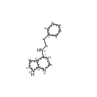 c1ccc(CCNc2ncnc3[nH]ccc23)cc1